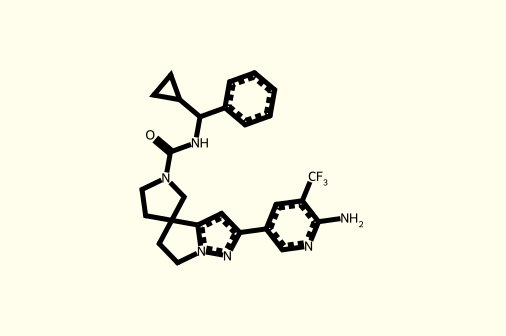 Nc1ncc(-c2cc3n(n2)CCC32CCN(C(=O)NC(c3ccccc3)C3CC3)C2)cc1C(F)(F)F